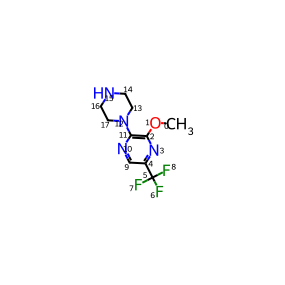 COc1nc(C(F)(F)F)cnc1N1CCNCC1